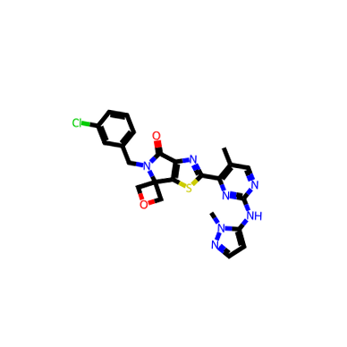 Cc1cnc(Nc2ccnn2C)nc1-c1nc2c(s1)C1(COC1)N(Cc1cccc(Cl)c1)C2=O